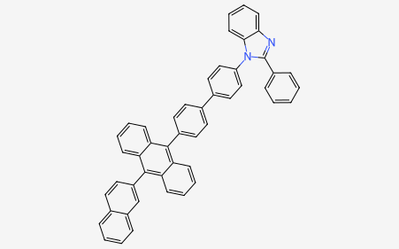 c1ccc(-c2nc3ccccc3n2-c2ccc(-c3ccc(-c4c5ccccc5c(-c5ccc6ccccc6c5)c5ccccc45)cc3)cc2)cc1